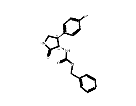 O=C(N[C@@H]1C(=O)NC[C@H]1c1ccc(Br)cc1)OCc1ccccc1